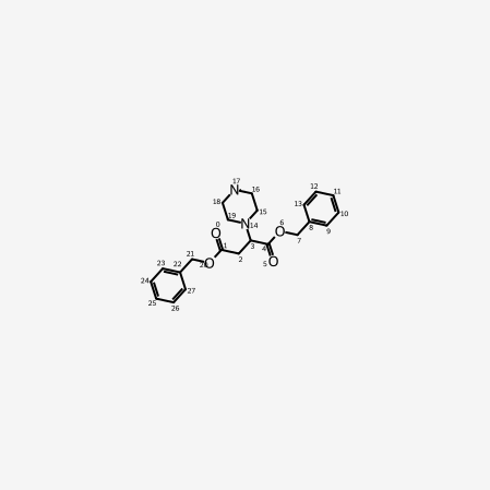 O=C(CC(C(=O)OCc1ccccc1)N1CC[N]CC1)OCc1ccccc1